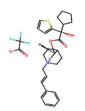 O=C(O[C@H]1C[N+]2(CC=Cc3ccccc3)CCC1CC2)[C@](O)(c1cccs1)C1CCCC1.O=C([O-])C(F)(F)F